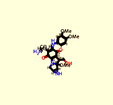 COc1ccc(NC2=C(C)C(=O)C3=C(C2=O)C(CO)C2(OC)C4NC4CN32)cc1OC.NC(=O)O